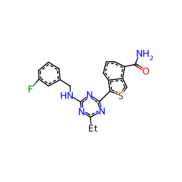 CCc1nc(NCc2cccc(F)c2)nc(-c2scc3c(C(N)=O)cccc23)n1